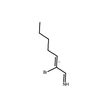 CCCC/C=C(\Br)C=N